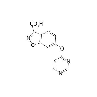 O=C(O)c1noc2cc(Oc3ccncn3)ccc12